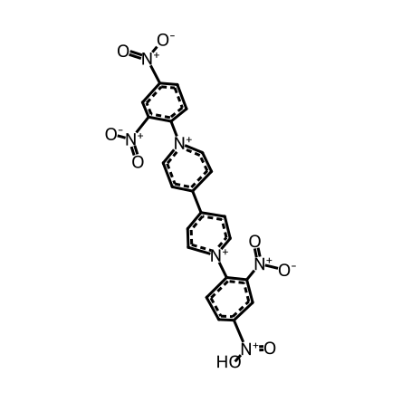 O=[N+]([O-])c1ccc(-[n+]2ccc(-c3cc[n+](-c4ccc([N+](=O)O)cc4[N+](=O)[O-])cc3)cc2)c([N+](=O)[O-])c1